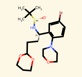 CC(C)(C)[S@+]([O-])N[C@@H](CCC1OCCCO1)c1cc(Br)ccc1N1CCOCC1